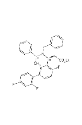 CCOC(=O)C[C@@H](c1cc(-c2ccc(F)cc2F)ccc1F)N(Cc1ccccc1)[C@H](C)c1ccccc1